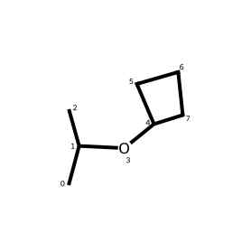 CC(C)OC1CCC1